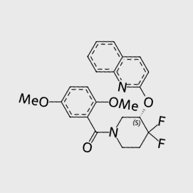 COc1ccc(OC)c(C(=O)N2CCC(F)(F)[C@@H](Oc3ccc4ccccc4n3)C2)c1